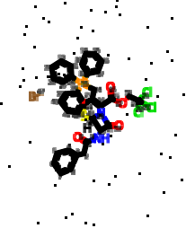 O=C(Cc1ccccc1)N[C@@H]1C(=O)N2C(C(=O)OCC(Cl)(Cl)Cl)=C(C[P+](c3ccccc3)(c3ccccc3)c3ccccc3)CS[C@H]12.[Br-]